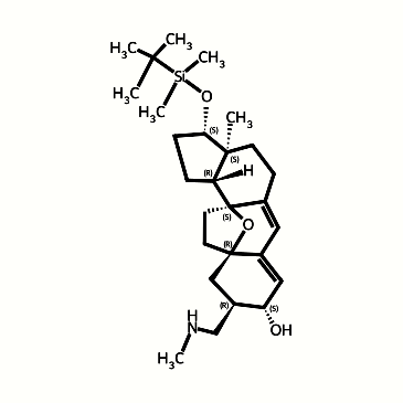 CNC[C@H]1C[C@@]23CC[C@@]4(O2)C(=CC3=C[C@@H]1O)CC[C@]1(C)[C@@H](O[Si](C)(C)C(C)(C)C)CC[C@H]14